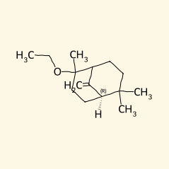 C=C1C2CCC(C)(C)[C@H]1CCC2(C)OCC